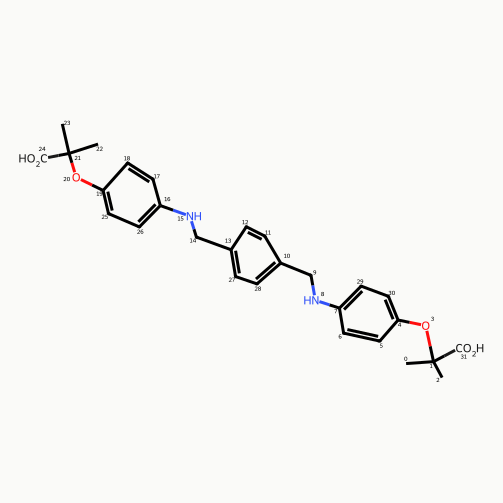 CC(C)(Oc1ccc(NCc2ccc(CNc3ccc(OC(C)(C)C(=O)O)cc3)cc2)cc1)C(=O)O